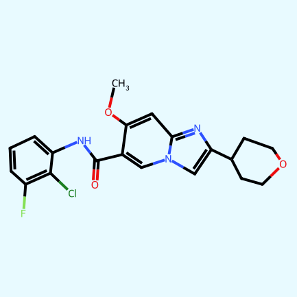 COc1cc2nc(C3CCOCC3)cn2cc1C(=O)Nc1cccc(F)c1Cl